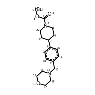 CC(C)(C)OC(=O)N1CCC(c2ccc(CN3CCOCC3)cc2)CC1